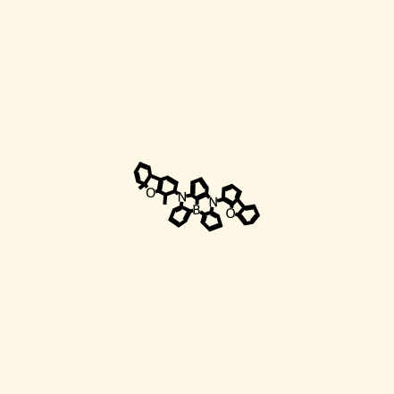 CC1C2=C(C=CC1N1c3ccccc3B3c4ccccc4N(c4cccc5c4oc4ccccc45)c4cccc1c43)C1C=CC=CC1(C)O2